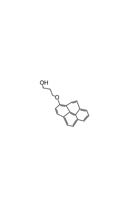 OCCCOc1ccc2ccc3cccc4ccc1c2c34